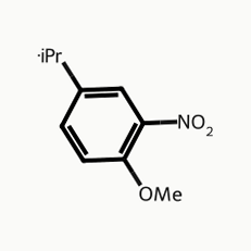 COc1ccc([C](C)C)cc1[N+](=O)[O-]